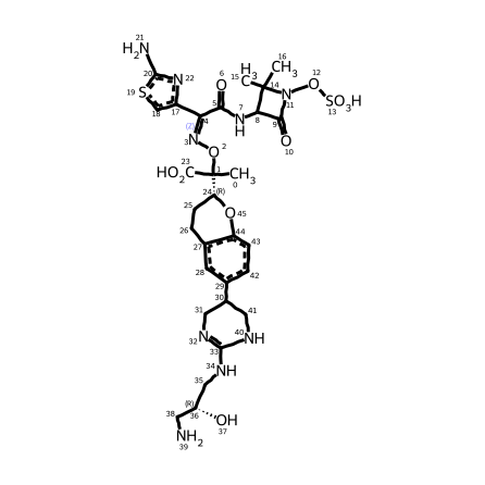 CC(O/N=C(\C(=O)NC1C(=O)N(OS(=O)(=O)O)C1(C)C)c1csc(N)n1)(C(=O)O)[C@H]1CCc2cc(C3CN=C(NC[C@H](O)CN)NC3)ccc2O1